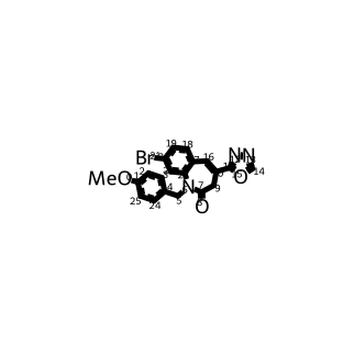 COc1ccc(CN2C(=O)CC(c3nnco3)=Cc3ccc(Br)cc32)cc1